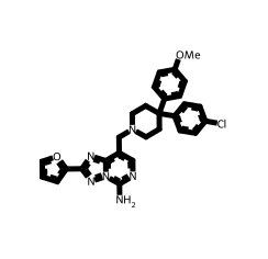 COc1ccc(C2(c3ccc(Cl)cc3)CCN(Cc3cnc(N)n4nc(-c5ccco5)nc34)CC2)cc1